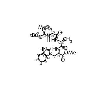 COC(=O)[C@@H](Cc1c[nH]c2ccccc12)NC(=O)[C@H](C)NC(=O)[C@H](CSC)NC(=O)OC(C)(C)C